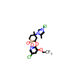 CC1=CN(Cl)CN1C1(C)CCS(=O)(=O)C(Oc2ncc(Cl)cc2OCC(F)(F)F)C1